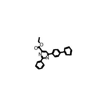 CCOC(=O)c1cc(-c2ccc(-c3ccccc3)cc2)nc(-c2ccccc2)n1